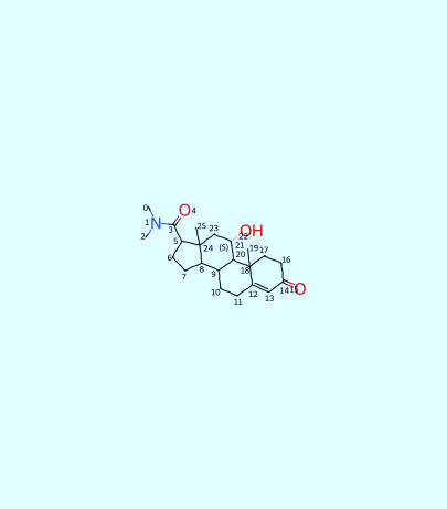 CN(C)C(=O)C1CCC2C3CCC4=CC(=O)CCC4(C)C3[C@@H](O)CC12C